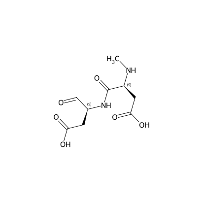 CN[C@@H](CC(=O)O)C(=O)N[C@H](C=O)CC(=O)O